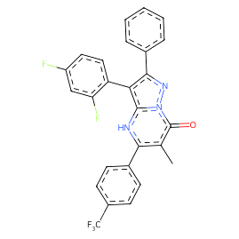 Cc1c(-c2ccc(C(F)(F)F)cc2)[nH]c2c(-c3ccc(F)cc3F)c(-c3ccccc3)nn2c1=O